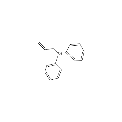 C=CC[SH](c1ccccc1)c1ccccc1